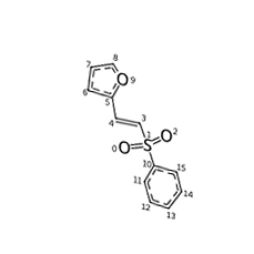 O=S(=O)(C=Cc1ccco1)c1ccccc1